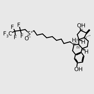 C=C1[C@H](O)C[C@H]2[C@@H]3[C@H](CCCCCCCCC[S+]([O-])CC(F)(F)C(F)(F)C(F)(F)F)Cc4cc(O)ccc4[C@H]3CC[C@]12C